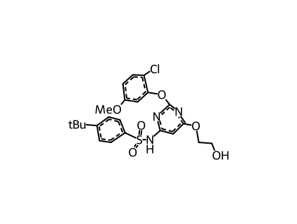 COc1ccc(Cl)c(Oc2nc(NS(=O)(=O)c3ccc(C(C)(C)C)cc3)cc(OCCO)n2)c1